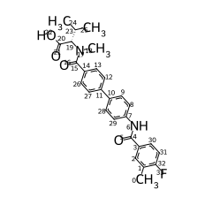 Cc1cc(C(=O)Nc2ccc(-c3ccc(C(=O)N(C)[C@H](C(=O)O)C(C)C)cc3)cc2)ccc1F